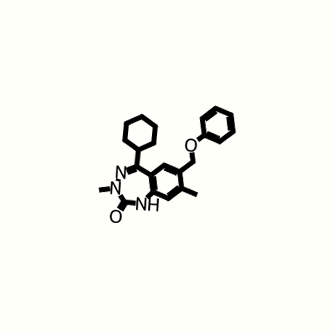 Cc1cc2c(cc1COc1ccccc1)C(C1CCCCC1)=NN(C)C(=O)N2